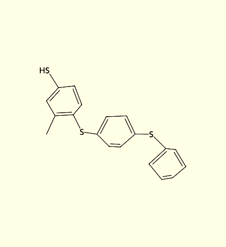 Cc1cc(S)ccc1Sc1ccc(Sc2ccccc2)cc1